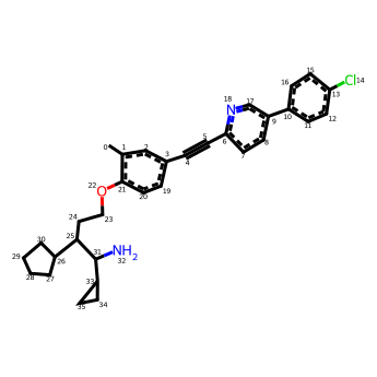 Cc1cc(C#Cc2ccc(-c3ccc(Cl)cc3)cn2)ccc1OCCC(C1CCCC1)C(N)C1CC1